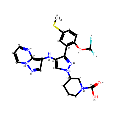 CSc1ccc(OC(F)F)c(-c2nn(C3CCCN(C(=O)O)C3)cc2Nc2cnn3cccnc23)c1